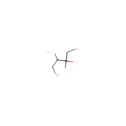 CCC(C)CC(C(=O)O)C(O)(CC(C)CC)C(=O)O